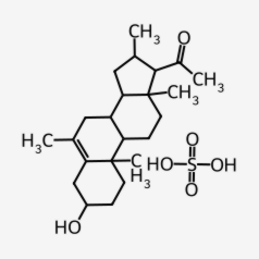 CC(=O)C1C(C)CC2C3CC(C)=C4CC(O)CCC4(C)C3CCC21C.O=S(=O)(O)O